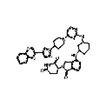 O=C1CCC(N2Cc3c(NC4CCCC(Nc5nccc(N6CCC(n7cc(-c8cnc9ccccc9n8)cn7)CC6)n5)C4)cccc3C2=O)C(=O)N1